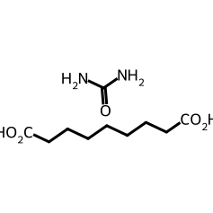 NC(N)=O.O=C(O)CCCCCCCC(=O)O